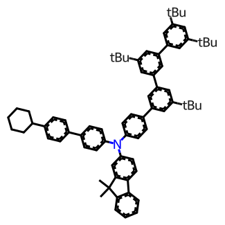 CC(C)(C)c1cc(-c2ccc(N(c3ccc(-c4ccc(C5CCCCC5)cc4)cc3)c3ccc4c(c3)C(C)(C)c3ccccc3-4)cc2)cc(-c2cc(-c3cc(C(C)(C)C)cc(C(C)(C)C)c3)cc(C(C)(C)C)c2)c1